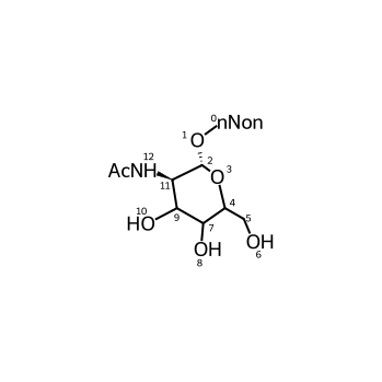 CCCCCCCCCO[C@@H]1OC(CO)C(O)C(O)[C@H]1NC(C)=O